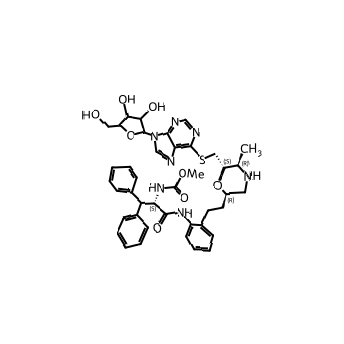 COC(=O)N[C@H](C(=O)Nc1ccccc1CC[C@@H]1CN[C@H](C)[C@@H](CSc2ncnc3c2ncn3C2OC(CO)C(O)C2O)O1)C(c1ccccc1)c1ccccc1